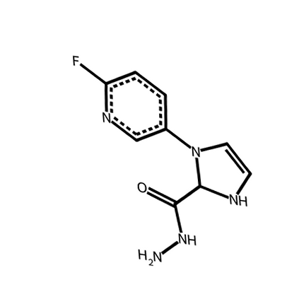 NNC(=O)C1NC=CN1c1ccc(F)nc1